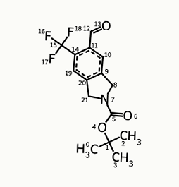 CC(C)(C)OC(=O)N1Cc2cc(C=O)c(C(F)(F)F)cc2C1